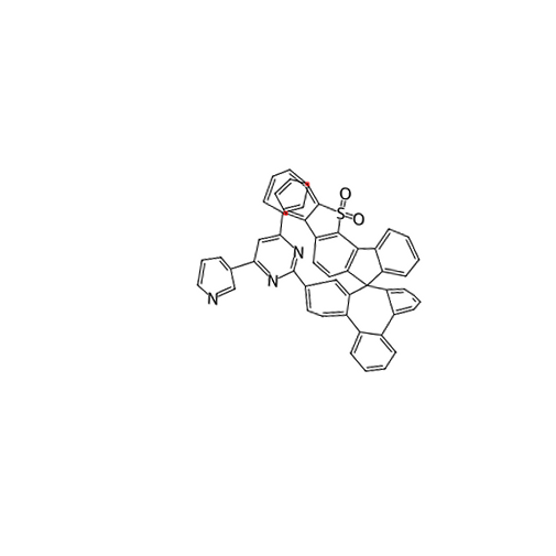 O=S1(=O)c2ccccc2-c2ccc3c(c21)-c1ccccc1C31c2ccccc2-c2ccccc2-c2ccc(-c3nc(-c4ccccc4)cc(-c4cccnc4)n3)cc21